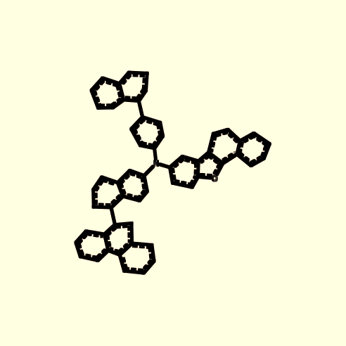 c1ccc2c(-c3ccc(N(c4ccc5c(-c6cc7ccccc7c7ccccc67)cccc5c4)c4ccc5oc6c7ccccc7ccc6c5c4)cc3)cccc2c1